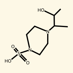 CC(O)C(C)N1CCN(S(=O)(=O)O)CC1